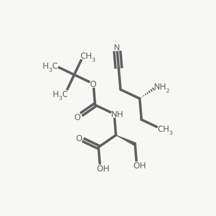 CC(C)(C)OC(=O)N[C@@H](CO)C(=O)O.CC[C@@H](N)CC#N